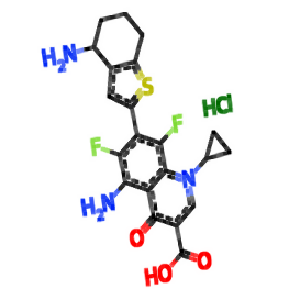 Cl.Nc1c(F)c(-c2cc3c(s2)CCCC3N)c(F)c2c1c(=O)c(C(=O)O)cn2C1CC1